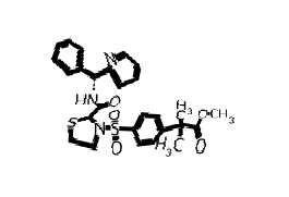 COC(=O)C(C)(C)c1ccc(S(=O)(=O)N2CCSC2C(=O)N[C@H](c2ccccc2)c2ccccn2)cc1